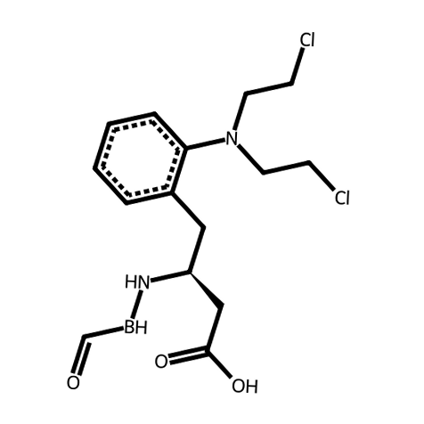 O=CBN[C@H](CC(=O)O)Cc1ccccc1N(CCCl)CCCl